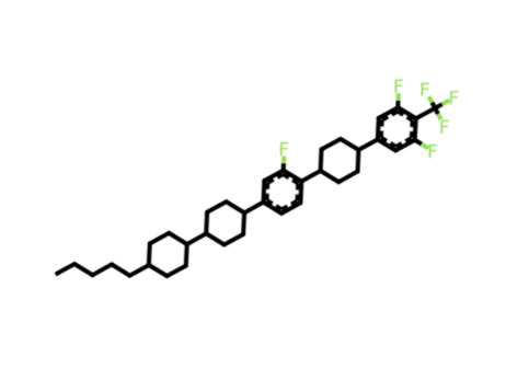 CCCCCC1CCC(C2CCC(c3ccc(C4CCC(c5cc(F)c(C(F)(F)F)c(F)c5)CC4)c(F)c3)CC2)CC1